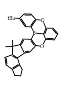 CC(C)(C)c1ccc2c(c1)B1c3cc4c(cc3Oc3cccc(c31)O2)-c1c(ccc2c1CCC2)C4(C)C